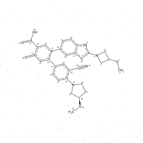 COC1CN(c2nc3ccc(-n4cc(C(=O)O)c(=O)cc4-c4ccc(N5CC[C@@H](OC)C5)c(C#N)c4)cc3o2)C1